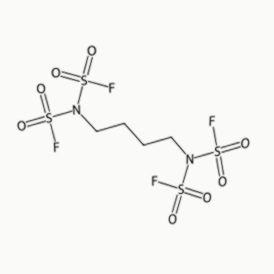 O=S(=O)(F)N(CCCCN(S(=O)(=O)F)S(=O)(=O)F)S(=O)(=O)F